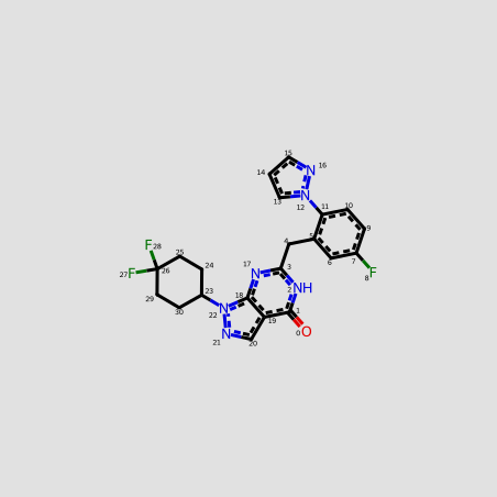 O=c1[nH]c(Cc2cc(F)ccc2-n2cccn2)nc2c1cnn2C1CCC(F)(F)CC1